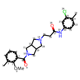 COc1c(C)cccc1C(=O)N1CC2CN(CCC(=O)Nc3ccc(C)c(Cl)c3)CC2C1